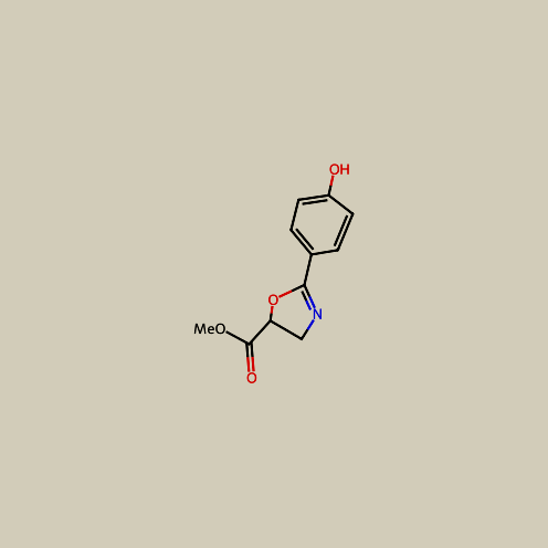 COC(=O)C1CN=C(c2ccc(O)cc2)O1